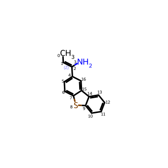 C/C=C(\N)c1ccc2sc3ccccc3c2c1